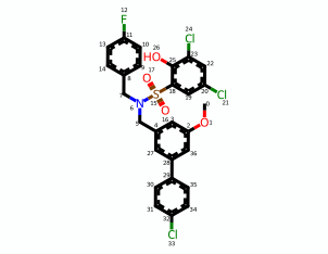 COc1cc(CN(Cc2ccc(F)cc2)S(=O)(=O)c2cc(Cl)cc(Cl)c2O)cc(-c2ccc(Cl)cc2)c1